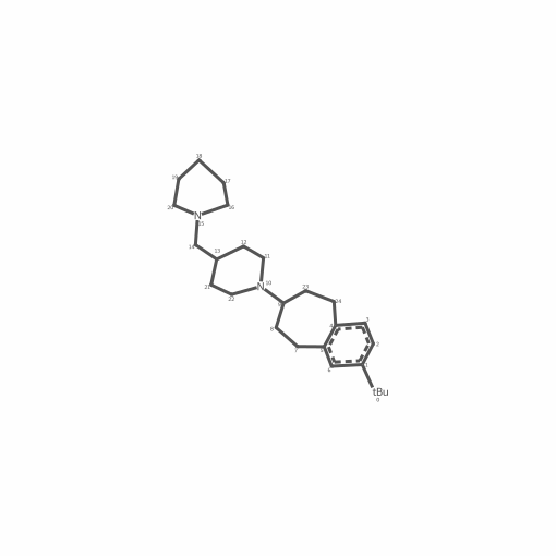 CC(C)(C)c1ccc2c(c1)CCC(N1CCC(CN3CCCCC3)CC1)CC2